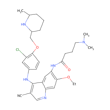 CCOc1cc2ncc(C#N)c(Nc3ccc(OCC4CCCC(C)N4)c(Cl)c3)c2cc1NC(=O)CCCN(C)C